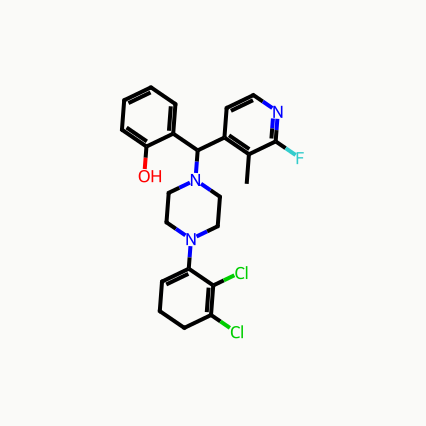 Cc1c(C(c2ccccc2O)N2CCN(C3=CCCC(Cl)=C3Cl)CC2)ccnc1F